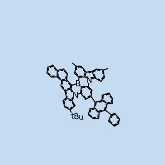 Cc1ccc2c(c1)c1cc(C)cc3c1n2-c1cc(-c2c4ccccc4c(-c4ccccc4)c4ccccc24)cc2c1B3c1c3ccc4ccccc4c3cc3c4ccc(C(C)(C)C)cc4n-2c13